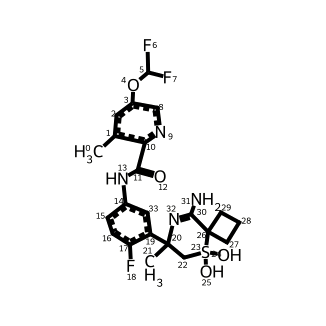 Cc1cc(OC(F)F)cnc1C(=O)Nc1ccc(F)c(C2(C)CS(O)(O)C3(CCC3)C(N)=N2)c1